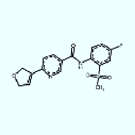 CS(=O)(=O)c1cc(F)ccc1NC(=O)c1ccc(C2=CCOC2)nc1